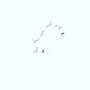 CNC(=O)OC(C)COC(C)COCCOCC(C)OCC(C)OC(=O)NC